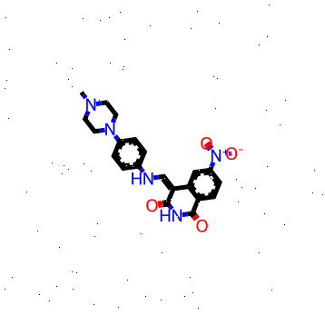 CN1CCN(c2ccc(N/C=C3\C(=O)NC(=O)c4ccc([N+](=O)[O-])cc43)cc2)CC1